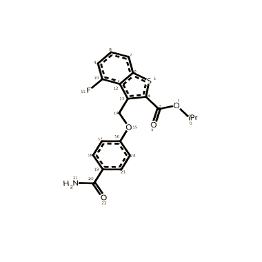 CC(C)OC(=O)c1sc2cccc(F)c2c1COc1ccc(C(N)=O)cc1